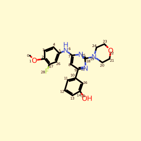 COc1ccc(Nc2cc(-c3cccc(O)c3)nc(N3CCOCC3)n2)cc1F